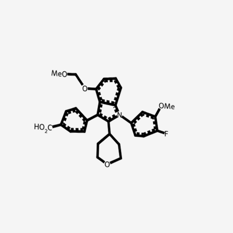 COCOc1cccc2c1c(-c1ccc(C(=O)O)cc1)c(C1CCOCC1)n2-c1ccc(F)c(OC)c1